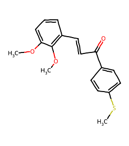 COc1cccc(C=CC(=O)c2ccc(SC)cc2)c1OC